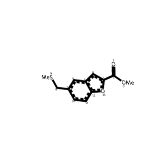 COC(=O)c1cc2cc(CSC)ccc2o1